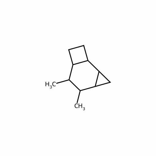 CC1C(C)C2CC2C2CCC12